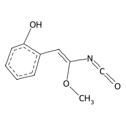 COC(=Cc1ccccc1O)N=C=O